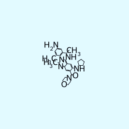 Cc1cc(N)cc([C@@H](C)Nc2nc(C)nc3cc(C(=O)N4CCOCC4)c(NC4CCCC4)cc23)c1